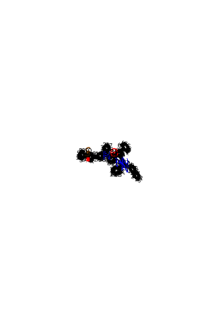 C1=CC(c2cc(-c3nc(C4=CCCC=C4)nc(-c4ccc5ccccc5c4)n3)c3c(c2)oc2c(-n4c5ccccc5c5cc(-c6ccc7c(c6)sc6ccccc67)ccc54)cccc23)=CCC1